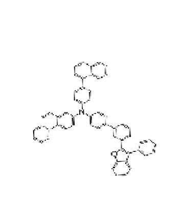 c1ccc(-c2c(-c3cccc(-c4ccc(N(c5ccc(-c6cccc7ccccc67)cc5)c5ccc6c(ccc7ccccc76)c5)cc4)c3)oc3ccccc23)cc1